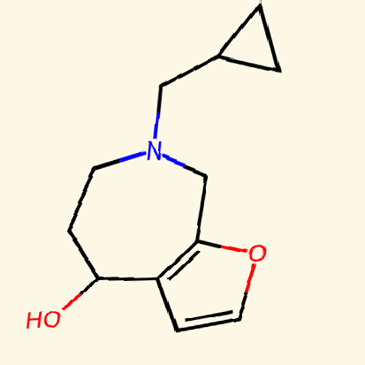 OC1CCN(CC2CC2)Cc2occc21